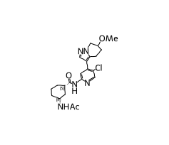 COC1CCc2c(-c3cc(NC(=O)[C@H]4CCC[C@@H](NC(C)=O)C4)ncc3Cl)cnn2C1